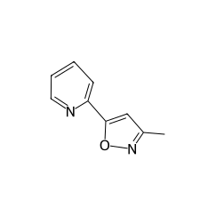 Cc1cc(-c2ccccn2)on1